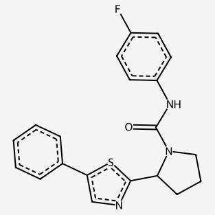 O=C(Nc1ccc(F)cc1)N1CCCC1c1ncc(-c2ccccc2)s1